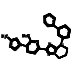 COc1nc(-c2nc3n(n2)CCC[C@@H]3c2cccc(-c3ccccc3)c2)ccc1-n1cnc(C)c1